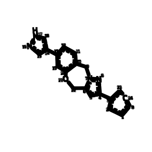 c1ccc(-c2cc3n(n2)Cc2ccc(-c4cn[nH]c4)cc2OC3)cc1